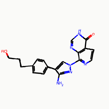 Nc1nn(-c2nccc3c(=O)[nH]cnc23)cc1-c1ccc(CCCO)cc1